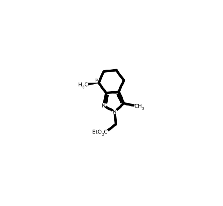 CCOC(=O)Cn1nc2c(c1C)CCC[C@@H]2C